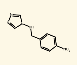 O=[N+]([O-])c1ccc(CNn2cnnc2)cc1